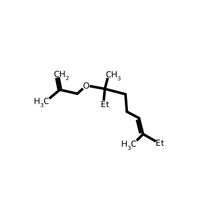 C=C(C)COC(C)(CC)CC/C=C(\C)CC